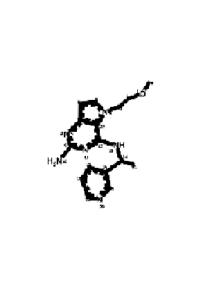 COCCn1ccc2nc(N)nc(NC(C)c3cccnc3)c21